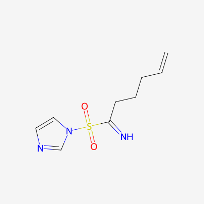 C=CCCCC(=N)S(=O)(=O)n1ccnc1